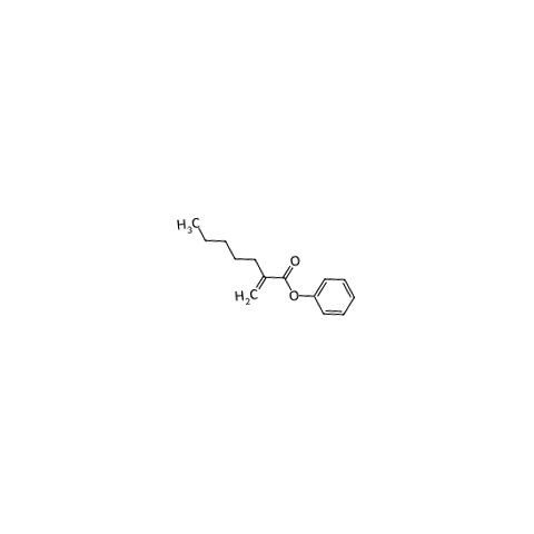 C=C(CCCCC)C(=O)Oc1ccccc1